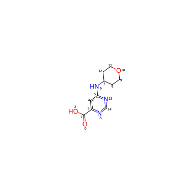 O=C(O)c1cc(NC2CCOCC2)ncn1